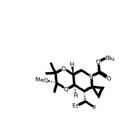 CCC(F)[C@@H]1[C@H]2O[C@](C)(OC)C(C)(C)O[C@@H]2CN(C(=O)OC(C)(C)C)C12CC2